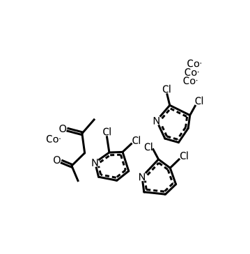 CC(=O)CC(C)=O.Clc1cccnc1Cl.Clc1cccnc1Cl.Clc1cccnc1Cl.[Co].[Co].[Co].[Co]